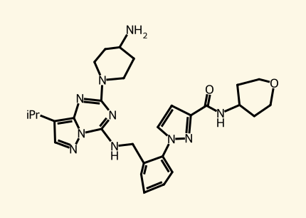 CC(C)c1cnn2c(NCc3ccccc3-n3ccc(C(=O)NC4CCOCC4)n3)nc(N3CCC(N)CC3)nc12